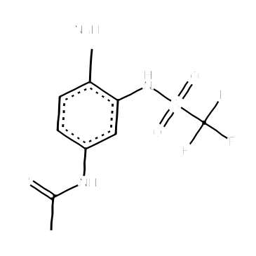 CC(=O)Nc1ccc(C)c(NS(=O)(=O)C(F)(F)F)c1.[NaH]